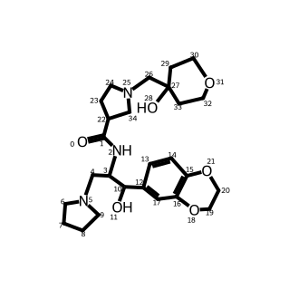 O=C(NC(CN1CCCC1)C(O)c1ccc2c(c1)OCCO2)C1CCN(CC2(O)CCOCC2)C1